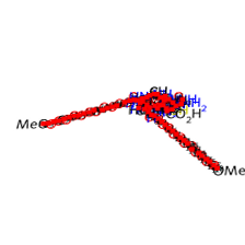 COCCOCCOCCOCCOCCOCCOCCOCCOCCOCCOCCOCCC(=O)NC[C@H](NC(=O)CC[C@H](C)NC(=O)c1ccc(NCc2cnc3nc(N)[nH]c(=O)c3n2)cc1)C(=O)N[C@@H](CC(=O)O)C(=O)N[C@@H](CNC(=O)CCOCCOCCOCCOCCOCCOCCOCCOCCOCCOCCOCCOC)C(=O)NC[C@H](N)C(=O)N[C@@H](CC(=O)O)C(=O)N[C@@H](CS)C(=O)O